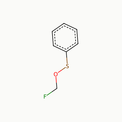 FCOSc1ccccc1